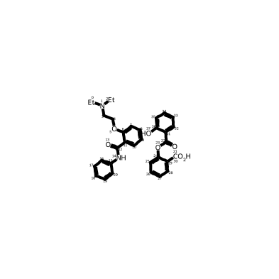 CCN(CC)CCOc1ccccc1C(=O)Nc1ccccc1.O=C(Oc1ccccc1C(=O)O)c1ccccc1O